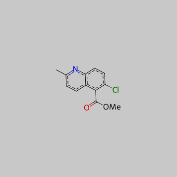 COC(=O)c1c(Cl)ccc2nc(C)ccc12